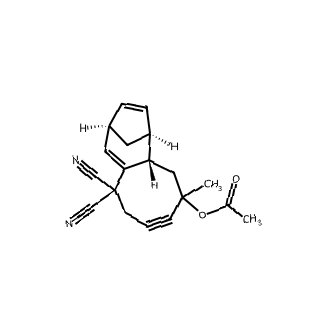 CC(=O)OC1(C)C#CCC(C#N)(C#N)C2=C[C@H]3C=C[C@H](C3)[C@@H]2C1